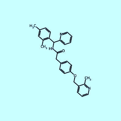 Cc1ccc(C(NC(=O)Cc2ccc(OCc3cccnc3C)cc2)c2ccccn2)c(C)c1